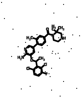 Cc1cc(C(=O)N2CCNCC2(C)C)ccc1-c1cnc(N)c(OC(C)c2c(Cl)ccc(F)c2Cl)c1